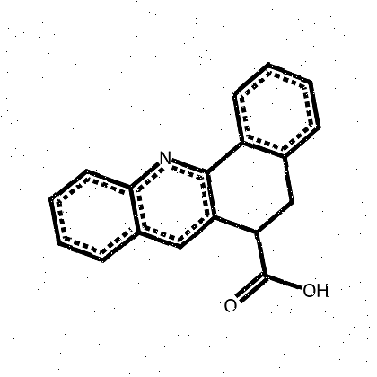 O=C(O)C1Cc2ccccc2-c2nc3ccccc3cc21